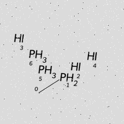 CP.I.I.I.P.P